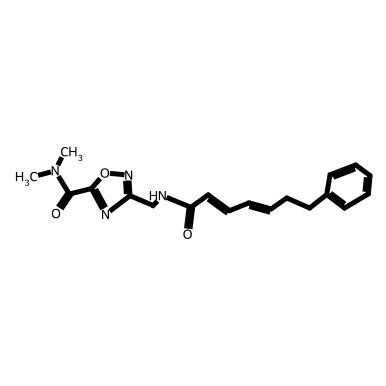 CN(C)C(=O)c1nc(CNC(=O)/C=C/C=C/CCc2ccccc2)no1